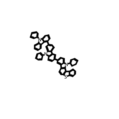 C1=CCCC(n2c3ccc(-c4ccc5c(c4)c4ccc(-c6cccc7c6c6ccccc6n7-c6ccccc6)cc4n5-c4ccccc4)cc3c3ccc4sc5ccccc5c4c32)=C1